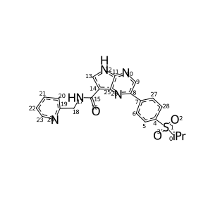 CC(C)S(=O)(=O)c1ccc(-c2cnc3[nH]cc(C(=O)NCc4ccccn4)c3n2)cc1